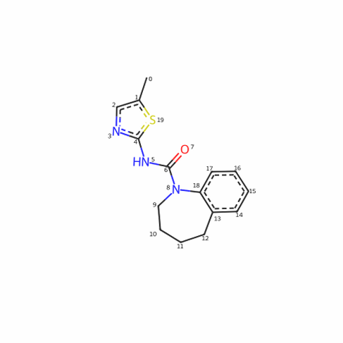 Cc1cnc(NC(=O)N2CCCCc3ccccc32)s1